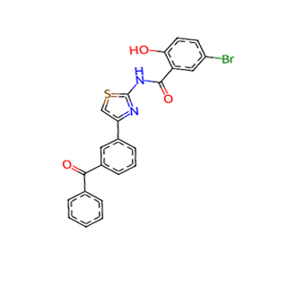 O=C(c1ccccc1)c1cccc(-c2csc(NC(=O)c3cc(Br)ccc3O)n2)c1